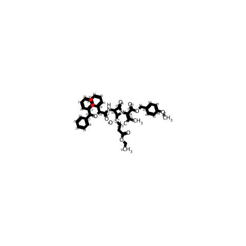 CCOC(=O)CC[S+]([O-])C1C(NC(=O)C(OC(c2ccccc2)c2ccccc2)c2ccccc2)C(=O)N1C(C(=O)OCc1ccc(OC)cc1)=C(C)C